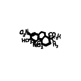 CC12CCC[C@](C)(C(=O)O)C1CCc1cc([N+](=O)[O-])c(O)c([N+](=O)[O-])c12